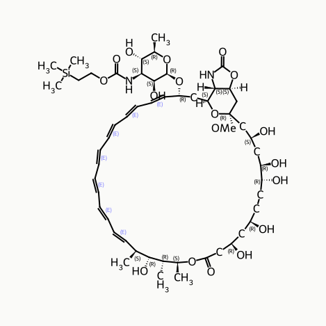 CO[C@]12C[C@@H](O)C[C@@H](O)[C@H](O)CC[C@@H](O)C[C@@H](O)CC(=O)O[C@@H](C)[C@H](C)[C@H](O)[C@@H](C)/C=C/C=C/C=C/C=C/C=C/C=C/C=C/[C@H](O[C@@H]3O[C@H](C)[C@@H](O)[C@H](NC(=O)OCC[Si](C)(C)C)[C@@H]3O)C[C@H](O1)[C@@H]1NC(=O)O[C@H]1C2